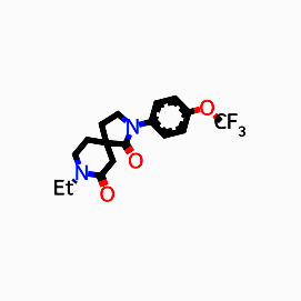 CCN1CCC2(CCN(c3ccc(OC(F)(F)F)cc3)C2=O)CC1=O